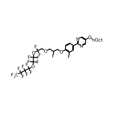 CCCCCCCCOc1cnc(-c2ccc(OCC(F)COCC(F)(F)OC(F)(F)C(F)(F)OC(F)(F)C(F)(F)C(F)(F)C(F)(F)F)c(F)c2)nc1